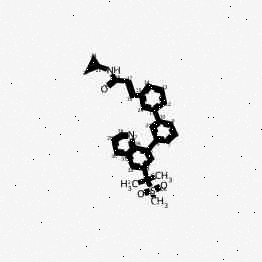 CC(C)(c1cc(-c2cccc(-c3cccc(C=CC(=O)NC4CC4)c3)c2)c2ncccc2c1)S(C)(=O)=O